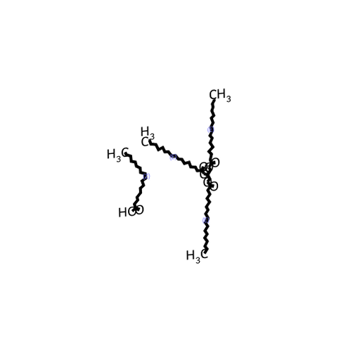 CCCCCCCC/C=C/CCCCCCCC(=O)OCC(COC(=O)CCCCCCC/C=C/CCCCCCCC)OC(=O)CCCCCCC/C=C/CCCCCCCC.CCCCCCCC/C=C\CCCCCCCC(=O)O